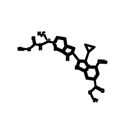 COc1cc(C(=O)OC(C)C)cc2nc(-c3cc4ccc([C@@H](C)NC(=O)OC(C)(C)C)nc4[nH]3)c(C3CC3)n12